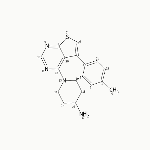 Cc1ccc(-c2csc3ncnc(N4CCC(N)CC4)c23)cc1